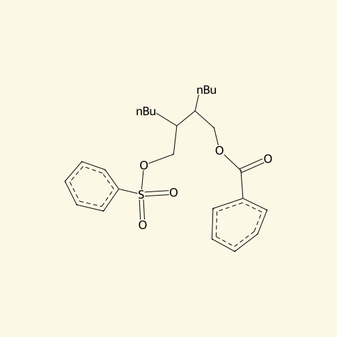 CCCCC(COC(=O)c1ccccc1)C(CCCC)COS(=O)(=O)c1ccccc1